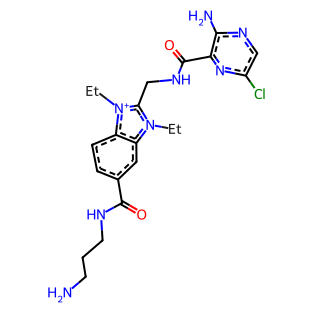 CCn1c(CNC(=O)c2nc(Cl)cnc2N)[n+](CC)c2ccc(C(=O)NCCCN)cc21